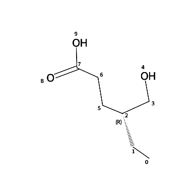 CC[C@@H](CO)CCC(=O)O